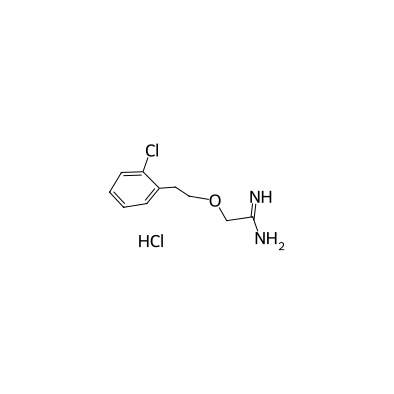 Cl.N=C(N)COCCc1ccccc1Cl